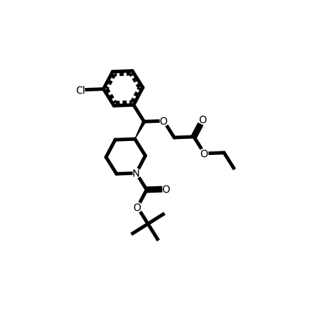 CCOC(=O)COC(c1cccc(Cl)c1)[C@@H]1CCCN(C(=O)OC(C)(C)C)C1